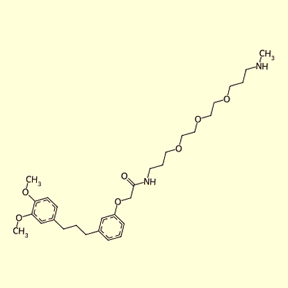 CNCCCOCCOCCOCCCNC(=O)COc1cccc(CCCc2ccc(OC)c(OC)c2)c1